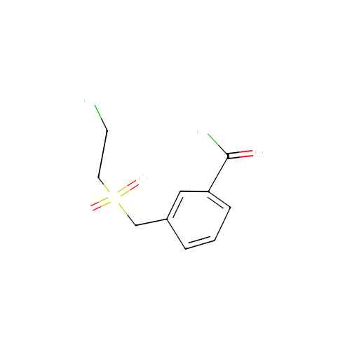 O=C(Cl)c1cccc(CS(=O)(=O)CCCl)c1